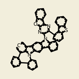 c1ccc2c(c1)-c1ccccc1-n1c3cc4c5ccccc5n(-c5nc6oc7ccccc7c6nc5-c5cccc6sc7ccccc7c56)c4cc3c3cccc-2c31